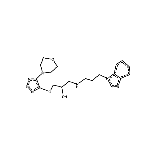 OC(CNCCCn1cnc2ccccc21)COc1nsnc1N1CCOCC1